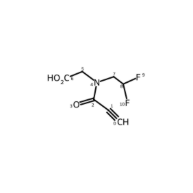 C#CC(=O)N(CC(=O)O)CC(F)F